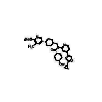 COc1ncc([C@H]2CC[C@H](CN(c3cc(-c4coc(C5CC5)n4)ccn3)C(=O)[C@H]3CC[C@H](O)CC3)CC2)cc1C